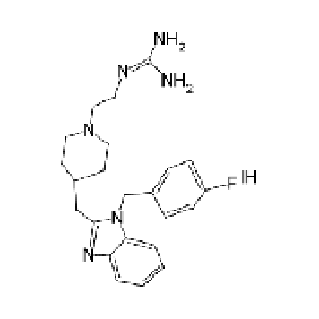 I.NC(N)=NCCN1CCC(Cc2nc3ccccc3n2Cc2ccc(F)cc2)CC1